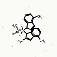 CC1=Cc2c(C)cccc2[CH]1[Zr]([Cl])([Cl])([CH]1C(C)=Cc2c(C)cccc21)[SiH](C)C(C)C